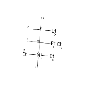 CCC(C)(C)C(C)(CC)[N+](C)(CC)CC.[Cl-]